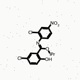 CC(C)O/C(=N\c1ccc([N+](=O)[O-])cc1Cl)c1cc(Cl)ccc1O